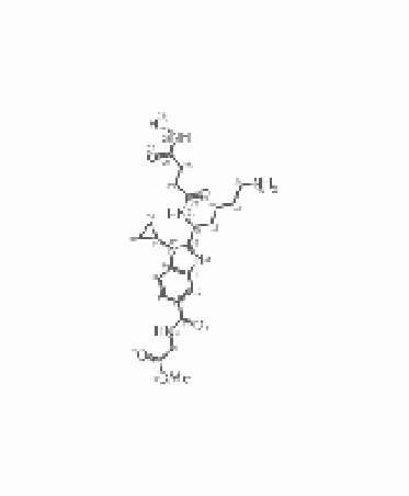 COC(=O)CNC(=O)c1ccc2c(c1)nc(C(CCCCN)NC(=O)CCC(=O)NO)n2C1CC1